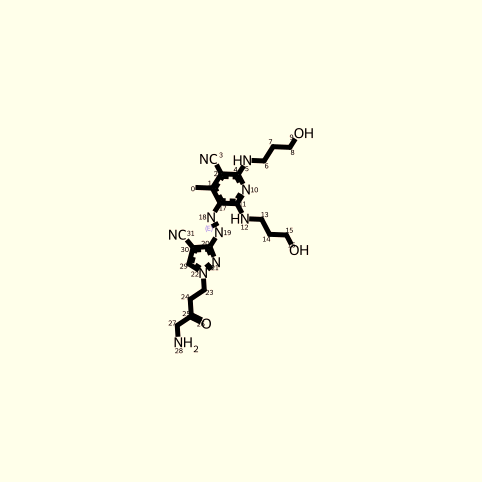 Cc1c(C#N)c(NCCCO)nc(NCCCO)c1/N=N/c1nn(CCC(=O)CN)cc1C#N